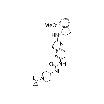 COc1cccc2c1C(Nc1ccc3cc(NC(=O)NC4CCN(C5(I)CC5)CC4)ccc3n1)CC2